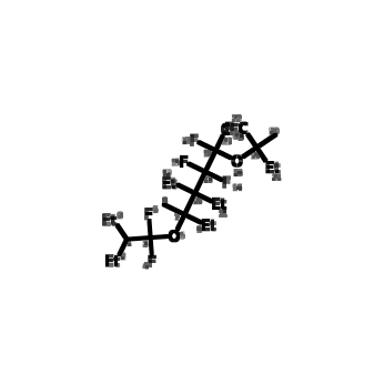 CCC(CC)C(F)(F)OC(C)(CC)C(CC)(CC)C(F)(F)C(F)(OC(C)(CC)C(F)(F)F)C(F)(F)F